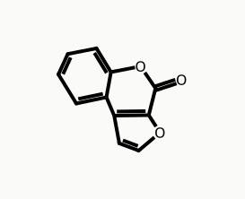 O=c1oc2ccccc2c2ccoc12